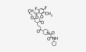 C=CCOC(=O)CC(CCC(=O)C1CCN(C(=O)C(=O)NC2CCCC2)CC1)C(=O)COc1c(C)c(F)cc(F)c1F